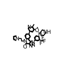 COc1cc(-c2ccc3c(c2)c2c(nnn2-c2ccc(N4CCNCC4)c(C(F)(F)F)c2)c(=O)n3CCn2cccc2)cnc1C